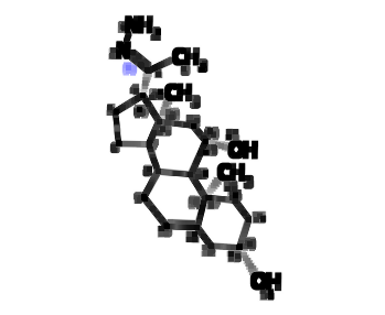 C/C(=N\N)[C@H]1CCC2C3CC=C4C[C@@H](O)CC[C@]4(C)C3[C@@H](O)C[C@@]21C